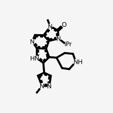 CC(C)n1c(=O)n(C)c2cnc3[nH]c(-c4cnn(C)c4)c(C4CCNCC4)c3c21